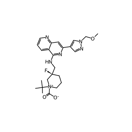 COCn1cc(-c2cc3ncccc3c(NC[C@]3(F)CCC[N+](C(=O)[O-])(C(C)(C)C)C3)n2)cn1